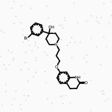 O=C1CCc2ccc(OCCCN3CCC(O)(c4cccc(Br)c4)CC3)cc2N1